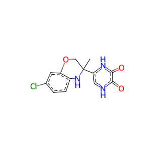 CC1(c2c[nH]c(=O)c(=O)[nH]2)COc2cc(Cl)ccc2N1